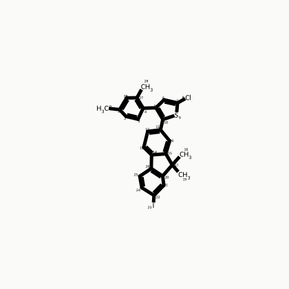 Cc1ccc(-c2cc(Cl)sc2-c2ccc3c(c2)C(C)(C)c2cc(I)ccc2-3)c(C)c1